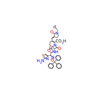 Nc1nc(C(=NOC(c2ccccc2)(c2ccccc2)c2ccccc2)C(=O)N[C@@H]2C(=O)N3C(C(=O)O)=C(C=C4CCN(CC5CC5)C4=O)CS[C@H]23)cs1